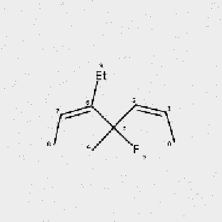 C/C=C\C(C)(F)/C(=C\C)CC